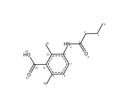 CCCC(=O)Nc1ccc(C)c(C(=O)O)c1C